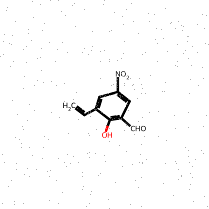 C=Cc1cc([N+](=O)[O-])cc(C=O)c1O